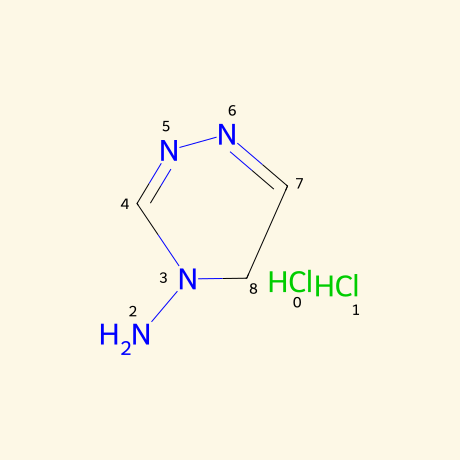 Cl.Cl.NN1C=NN=CC1